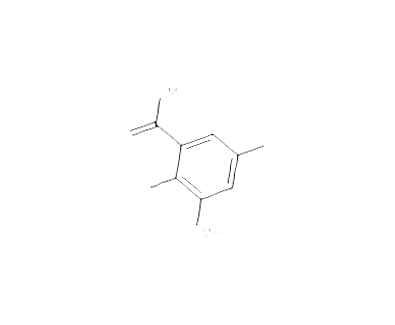 COC(=O)c1cc(Cl)cc(OC)c1O